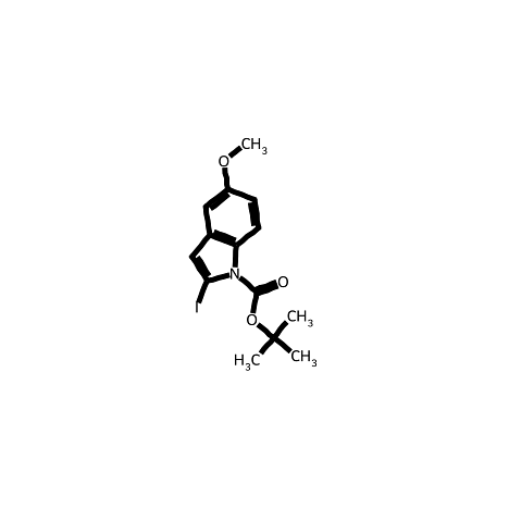 COc1ccc2c(c1)cc(I)n2C(=O)OC(C)(C)C